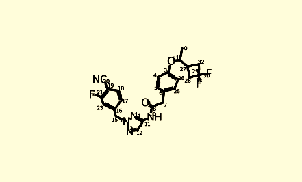 CC(Oc1ccc(CC(=O)Nc2cnn(Cc3ccc(C#N)c(F)c3)n2)cc1)C1CC(F)(F)C1